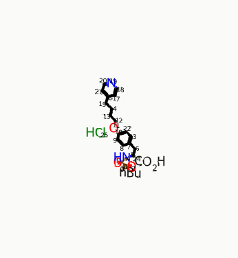 CCCCS(=O)(=O)NC(Cc1ccc(OCCCCc2ccncc2)cc1)C(=O)O.Cl